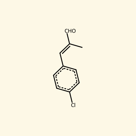 CC(C=O)=Cc1ccc(Cl)cc1